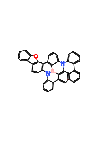 c1ccc(-c2ccccc2N2c3cccc4c3B3c5c(cccc52)-c2c(ccc5c2oc2ccccc25)N3c2ccccc2-4)cc1